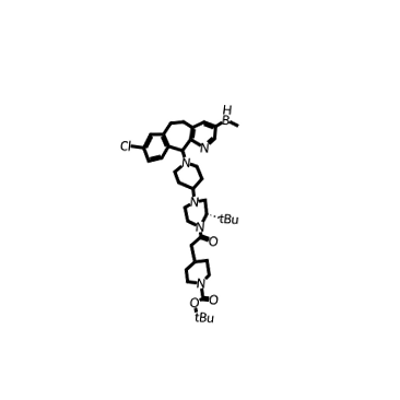 CBc1cnc2c(c1)CCc1cc(Cl)ccc1C2N1CCC(N2CCN(C(=O)CC3CCN(C(=O)OC(C)(C)C)CC3)[C@@H](C(C)(C)C)C2)CC1